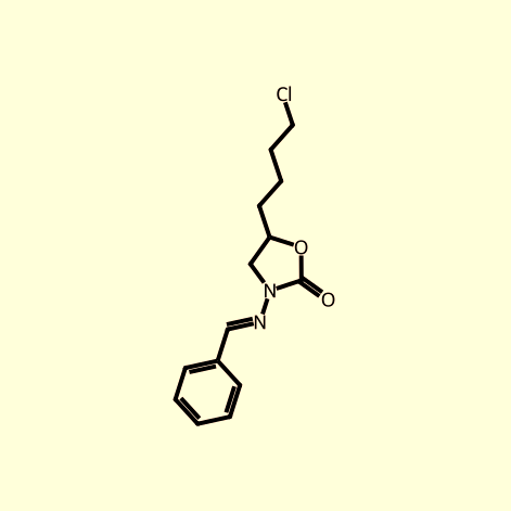 O=C1OC(CCCCCl)CN1N=Cc1ccccc1